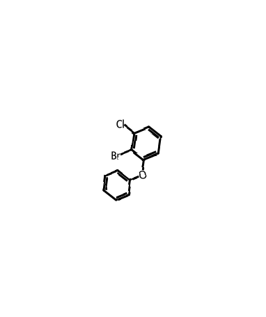 Clc1cccc(Oc2ccccc2)c1Br